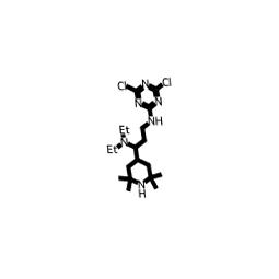 CCN(CC)C(CCNc1nc(Cl)nc(Cl)n1)C1CC(C)(C)NC(C)(C)C1